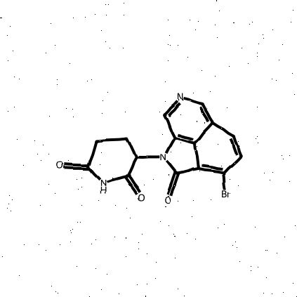 O=C1CCC(N2C(=O)c3c(Br)ccc4cncc2c34)C(=O)N1